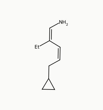 CCC(/C=C\CC1CC1)=C/N